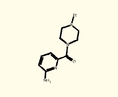 CCN1CCN(C(=O)c2cccc(N)n2)CC1